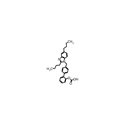 CCCCc1ccc2c(c1)nc(CCCC)n2Cc1ccc(-c2ccccc2OC(=O)O)cc1